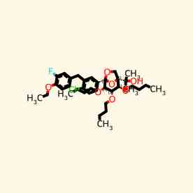 CCCCO[C@@H]1[C@@H](OCCCC)[C@@]2(c3ccc(Cl)c(Cc4ccc(OCC)c(F)c4)c3)OC[C@](C(C)(C)O)(O2)[C@H]1OCCCC